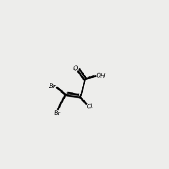 O=C(O)C(Cl)=C(Br)Br